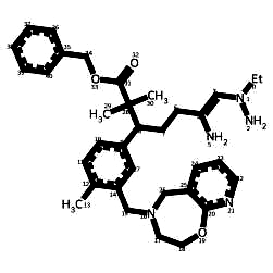 CCN(N)/C=C(\N)CCC(c1ccc(C)c(CN2CCOc3ncccc3C2)c1)C(C)(C)C(=O)OCc1ccccc1